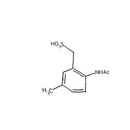 CC(=O)Nc1ccc(C)cc1CS(=O)(=O)O